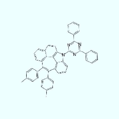 Cc1ccc(C2=C(c3ccc(C)cc3)c3cccc4c3c3c5c2cccc5ccc3n4-c2nc(-c3ccccc3)nc(-c3ccccc3)n2)cc1